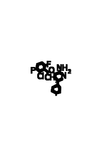 CC(Oc1cc(-c2cc[c]cc2)cnc1N)c1c(F)ccc(F)c1Cl